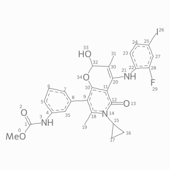 COC(=O)Nc1cccc(-c2c3c(c(=O)n(C4CC4)c2C)C(Nc2ccc(I)cc2F)=C(C)C(O)O3)c1